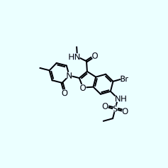 CCS(=O)(=O)Nc1cc2oc(-n3ccc(C)cc3=O)c(C(=O)NC)c2cc1Br